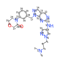 CN(C)CCCn1cc(Nc2ncc3cnn(Cc4cccc(N5CCOCC5=O)c4)c3n2)cn1